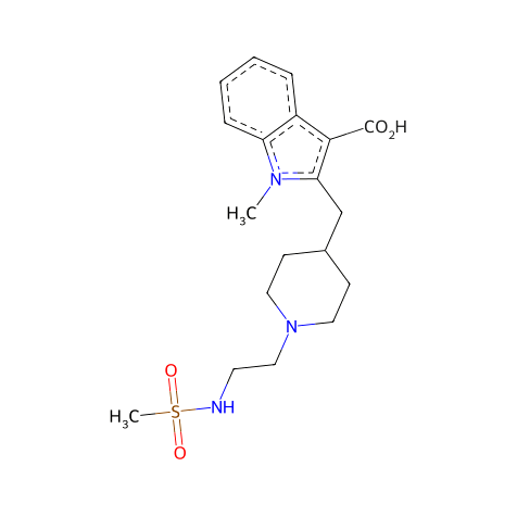 Cn1c(CC2CCN(CCNS(C)(=O)=O)CC2)c(C(=O)O)c2ccccc21